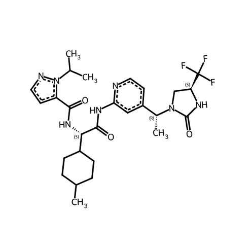 CC1CCC([C@H](NC(=O)c2ccnn2C(C)C)C(=O)Nc2cc([C@@H](C)N3C[C@@H](C(F)(F)F)NC3=O)ccn2)CC1